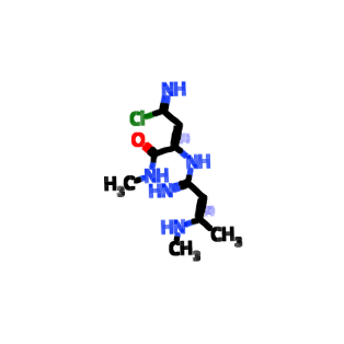 CNC(=O)/C(=C\C(=N)Cl)NC(=N)/C=C(/C)NC